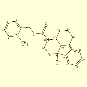 Cc1ccccc1CCC(=O)N1CCC(O)(c2ccccc2)C2CCCCC21